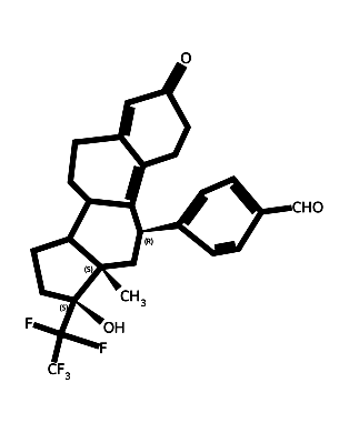 C[C@]12C[C@H](c3ccc(C=O)cc3)C3=C4CCC(=O)C=C4CCC3C1CC[C@@]2(O)C(F)(F)C(F)(F)F